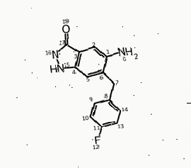 Nc1cc2c(cc1Cc1ccc(F)cc1)N[N]C2=O